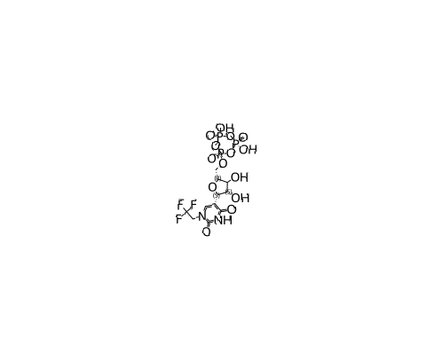 O=c1[nH]c(=O)n(CC(F)(F)F)cc1[C@@H]1O[C@H](COP2(=O)OP(=O)(O)OP(=O)(O)O2)C(O)[C@@H]1O